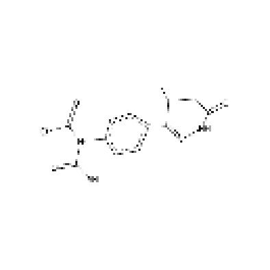 CCC(=O)N(C(=O)S)c1ccc(C2=NNC(=O)CC2C)cc1